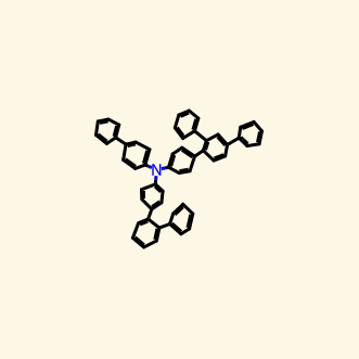 c1ccc(-c2ccc(N(c3ccc(-c4ccccc4-c4ccccc4)cc3)c3ccc(-c4ccc(-c5ccccc5)cc4-c4ccccc4)cc3)cc2)cc1